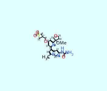 CO[C@]1(c2cc(OCC3CS(=O)(=O)C3)cc(-c3cc(C)n4cnc(NC(N)=O)cc34)n2)CCOC1